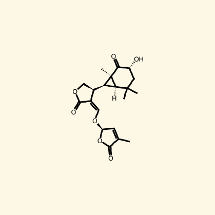 CC1=C[C@H](O/C=C2\C(=O)OC[C@H]2[C@@H]2[C@@H]3C(C)(C)C[C@@H](O)C(=O)[C@]23C)OC1=O